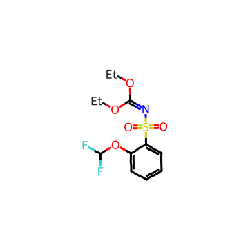 CCOC(=NS(=O)(=O)c1ccccc1OC(F)F)OCC